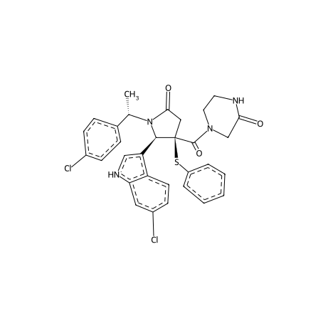 C[C@@H](c1ccc(Cl)cc1)N1C(=O)C[C@](Sc2ccccc2)(C(=O)N2CCNC(=O)C2)[C@H]1c1c[nH]c2cc(Cl)ccc12